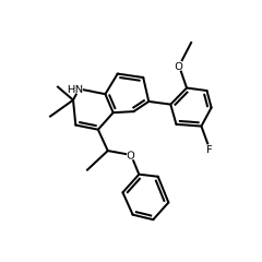 COc1ccc(F)cc1-c1ccc2c(c1)C(C(C)Oc1ccccc1)=CC(C)(C)N2